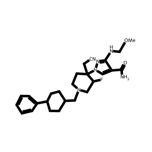 COCNc1nn(C2(CC#N)CCN(CC3CCC(c4ccccc4)CC3)CC2F)cc1C(N)=O